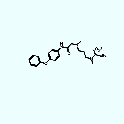 CCCCC(C(=O)O)N(C)CCCN(C)CC(=O)Nc1ccc(Oc2ccccc2)cc1